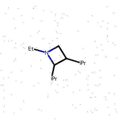 CCN1CC(C(C)C)C1C(C)C